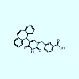 O=C(O)c1cccc(Cn2cc(C3c4ccccc4C=Cc4ccccc43)c(=S)[nH]c2=O)n1